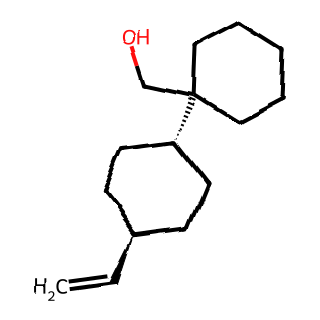 C=C[C@H]1CC[C@H](C2(CO)CCCCC2)CC1